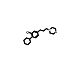 Clc1cc(CCCN2CCOCC2)ccc1C1CCCCC1